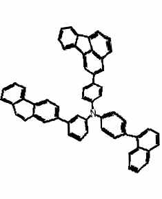 c1cc(-c2ccc3c(ccc4ccccc43)c2)cc(N(c2ccc(-c3cc4c5c(cccc5c3)-c3ccccc3-4)cc2)c2ccc(-c3cccc4ccccc34)cc2)c1